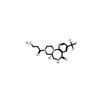 CCCC(=O)N1CCN2c3ncc(C(F)(F)F)cc3C(=O)NC[C@H]2C1